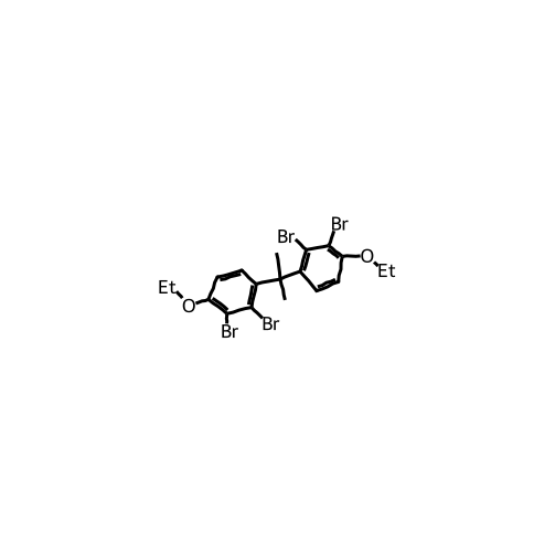 CCOc1ccc(C(C)(C)c2ccc(OCC)c(Br)c2Br)c(Br)c1Br